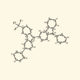 FC(F)(F)c1ccc2c(c1)c1cc(-c3ccccn3)ccc1n2-c1ccc2c(c1)c1ccccc1n2-c1ccccc1